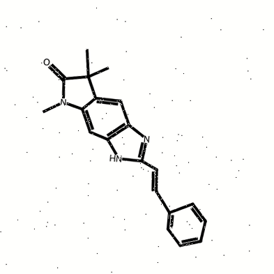 CN1C(=O)C(C)(C)c2cc3nc(C=Cc4ccccc4)[nH]c3cc21